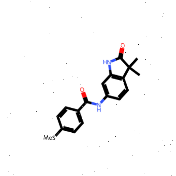 CSc1ccc(C(=O)Nc2ccc3c(c2)NC(=O)C3(C)C)cc1